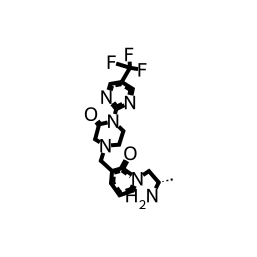 C[C@H](N)Cn1cccc(CN2CCN(c3ncc(C(F)(F)F)cn3)C(=O)C2)c1=O